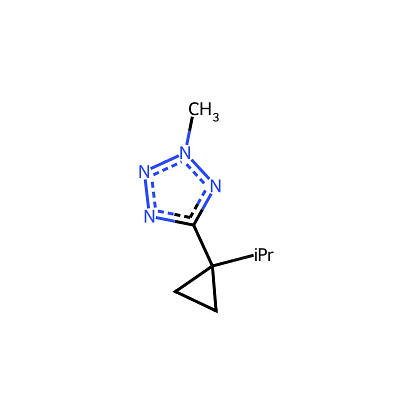 CC(C)C1(c2nnn(C)n2)CC1